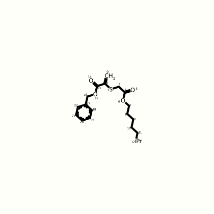 C=C(SCC(=O)OCCCCCC(C)C)C(=O)OCc1ccccc1